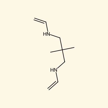 C=CNCC(C)(C)CNC=C